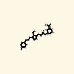 CCC1C(CCCc2ccc(C)cc2)=CC=C1CCC(=O)Cc1cccc(C(C)=O)c1